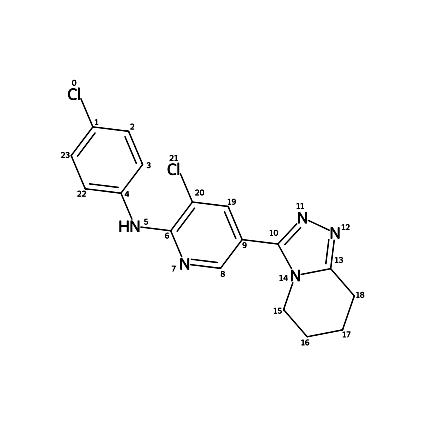 Clc1ccc(Nc2ncc(-c3nnc4n3CCCC4)cc2Cl)cc1